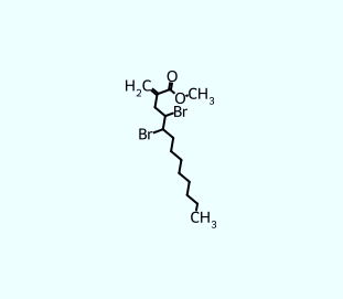 C=C(CC(Br)C(Br)CCCCCCCC)C(=O)OC